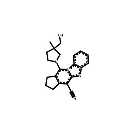 CC1(CO)CCN(c2c3c(c(C#N)c4nc5ccccc5n24)CCC3)C1